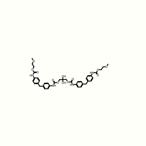 COCCOC(=O)Nc1ccc(Cc2ccc(NC(=O)OCC(O)(O)COC(=O)Nc3ccc(Cc4ccc(NC(=O)OCCOC)cc4)cc3)cc2)cc1